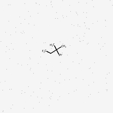 C[C](C)C(C)(C)CC(F)(F)F